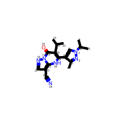 Cc1nn(C(C)C)cc1-c1[nH]c2c(C#N)cnn2c(=O)c1C(C)C